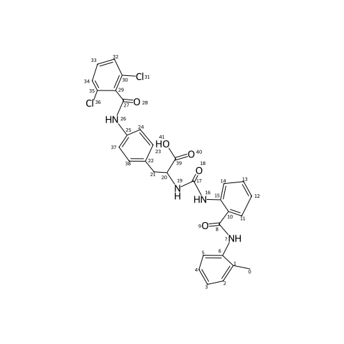 Cc1ccccc1NC(=O)c1ccccc1NC(=O)NC(Cc1ccc(NC(=O)c2c(Cl)cccc2Cl)cc1)C(=O)O